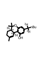 [2H]C([2H])(CCCC)c1cc(O)c2c(c1)OC(C)(C)[C@@H]1CCC(C)=C[C@@]21[2H]